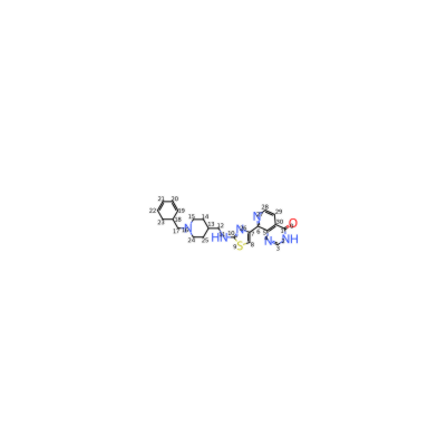 O=c1[nH]cnc2c(-c3csc(NCC4CCN(CC5C=CC=CC5)CC4)n3)nccc12